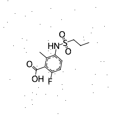 CCCS(=O)(=O)Nc1ccc(F)c(C(=O)O)c1C